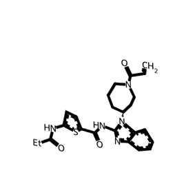 C=CC(=O)N1CCC[C@@H](n2c(NC(=O)c3ccc(NC(=O)CC)s3)nc3ccccc32)CC1